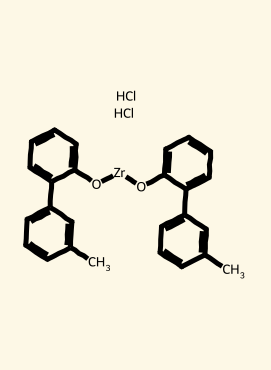 Cc1cccc(-c2ccccc2[O][Zr][O]c2ccccc2-c2cccc(C)c2)c1.Cl.Cl